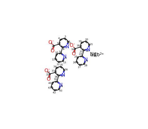 O=C([O-])c1cccnc1-c1ccccn1.O=C([O-])c1cccnc1-c1ccccn1.O=C([O-])c1cccnc1-c1ccccn1.[Co+2].[Na+]